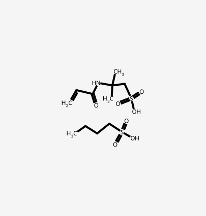 C=CC(=O)NC(C)(C)CS(=O)(=O)O.CCCCS(=O)(=O)O